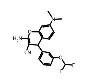 CN(C)c1ccc2c(c1)OC(N)=C(C#N)C2c1cccc(OC(F)F)c1